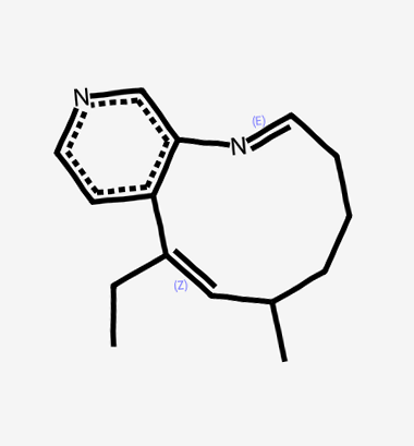 CC/C1=C/C(C)CCC/C=N/c2cnccc21